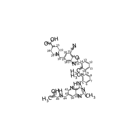 Cc1nc(Nc2cccc(-c3cccc(-c4nc5cc(CN6CCC(C(=O)O)CC6)cc(C#N)c5o4)c3C)c2C)c2ncc(CNC[C@H](C)O)cc2n1